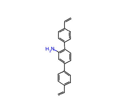 C=Cc1ccc(-c2ccc(-c3ccc(C=C)cc3)c(N)c2)cc1